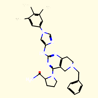 COc1cc(-n2cnc(Nc3nc4c(c(N5CCCC5C(N)=O)n3)CN(Cc3ccccc3)CC4)c2)cc(OC)c1OC